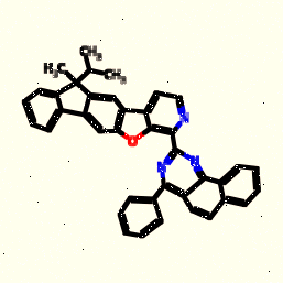 CC(C)C1(C)c2ccccc2-c2cc3oc4c(-c5nc(-c6ccccc6)c6ccc7ccccc7c6n5)nccc4c3cc21